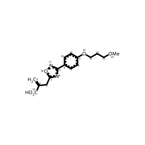 C=C(Cc1nc(-c2ccc(OCCCOC)cc2)no1)C(=O)O